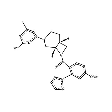 COc1ccc(C(=O)N2C[C@H]3CCN(c4cc(C)nc(C(C)C)n4)C[C@H]32)c(-n2nccn2)c1